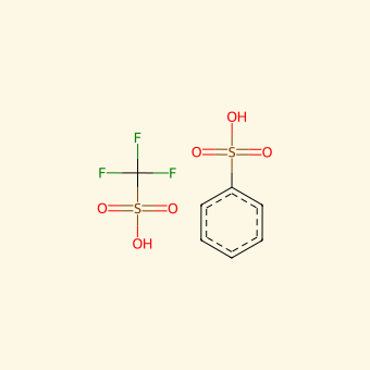 O=S(=O)(O)C(F)(F)F.O=S(=O)(O)c1ccccc1